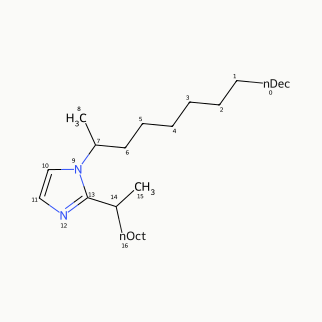 CCCCCCCCCCCCCCCCC(C)n1ccnc1C(C)CCCCCCCC